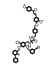 COc1ccc(C(=O)C=Cc2ccc(OCc3ccc(CNC(=O)C(C)(C)NCc4cc(Cl)c(OCc5cccc(-c6ccccc6)c5C)cc4OCc4cccc(C#N)c4)cc3)c(OC)c2)cc1